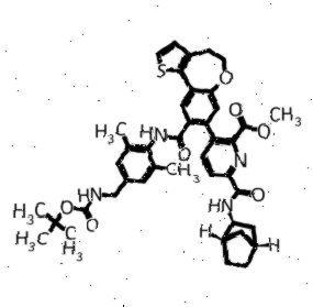 COC(=O)c1nc(C(=O)N[C@H]2C[C@@H]3CC[C@H]2C3)ccc1-c1cc2c(cc1C(=O)Nc1c(C)cc(CNC(=O)OC(C)(C)C)cc1C)-c1sccc1CCO2